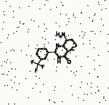 Nc1cccc2c(=O)[nH]c(-c3cccc(C(F)(F)F)c3)nc12